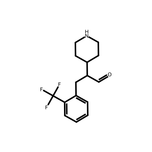 O=CC(Cc1ccccc1C(F)(F)F)C1CCNCC1